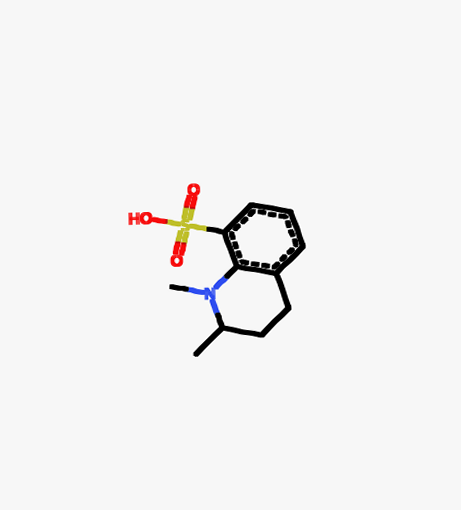 CC1CCc2cccc(S(=O)(=O)O)c2N1C